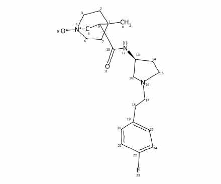 CC12CC[N+]([O-])(CC1)CC2C(=O)N[C@H]1CCN(CCc2ccc(F)cc2)C1